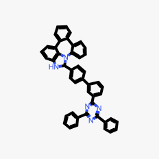 c1ccc(-c2nc(-c3ccccc3)nc(-c3cccc(-c4ccc(C5Nc6cccc7c6N5c5ccccc5-c5ccccc5-7)cc4)c3)n2)cc1